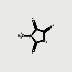 CN1C(=O)OC(=O)C1=O